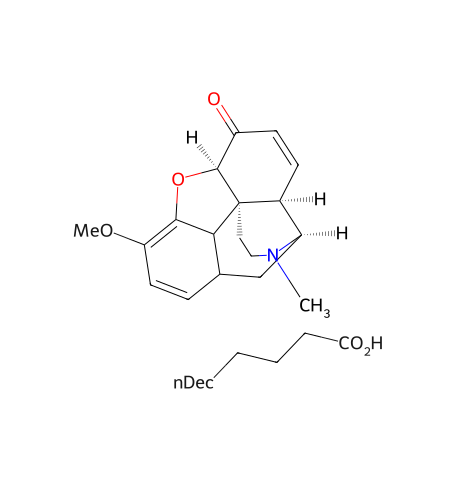 CCCCCCCCCCCCCC(=O)O.COC1=C2O[C@H]3C(=O)C=C[C@H]4[C@H]5CC(C=C1)C2[C@@]34CCN5C